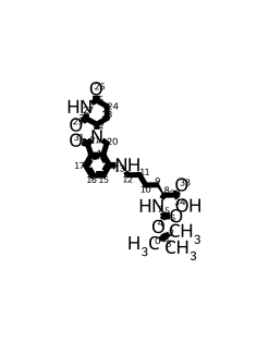 CC(C)(C)OC(=O)N[C@@H](CCCCNc1cccc2c1CN(C1CCC(=O)NC1=O)C2=O)C(=O)O